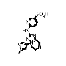 Cn1cc([N+]23C=CN=CC2=NC(Nc2ccc(S(=O)(=O)O)cn2)=N3)cn1